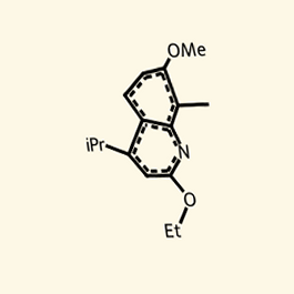 CCOc1cc(C(C)C)c2ccc(OC)c(C)c2n1